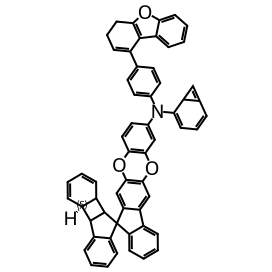 C1=CC2=CC2C(N(c2ccc(C3=CCCc4oc5ccccc5c43)cc2)c2ccc3c(c2)Oc2cc4c(cc2O3)C2(c3ccccc3-4)c3ccccc3C3C2C2C=CC=C[C@@H]23)=C1